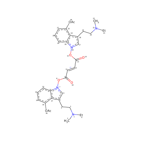 CCN(C)CCc1cn(OC(=O)/C=C/C(=O)On2cc(CCN(C)CC)c3c(OC(C)=O)cccc32)c2cccc(OC(C)=O)c12